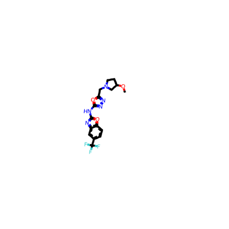 COC1CCN(Cc2nnc(Nc3nc4cc(C(F)(F)F)ccc4o3)o2)C1